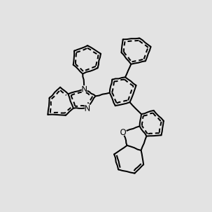 C1=CC2Oc3c(-c4cc(-c5ccccc5)cc(-c5nc6ccccc6n5-c5ccccc5)c4)cccc3C2C=C1